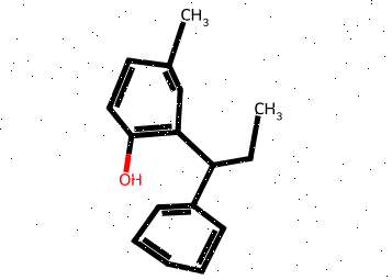 CCC(c1ccccc1)c1cc(C)ccc1O